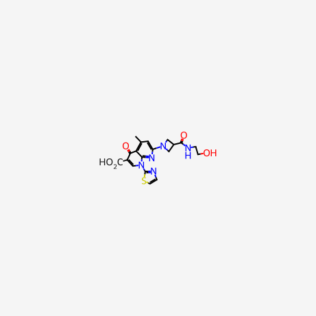 Cc1cc(N2CC(C(=O)NCCO)C2)nc2c1c(=O)c(C(=O)O)cn2-c1nccs1